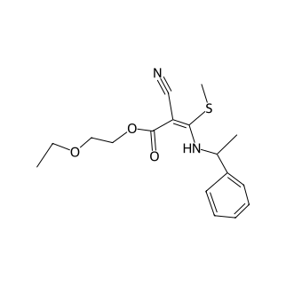 CCOCCOC(=O)C(C#N)=C(NC(C)c1ccccc1)SC